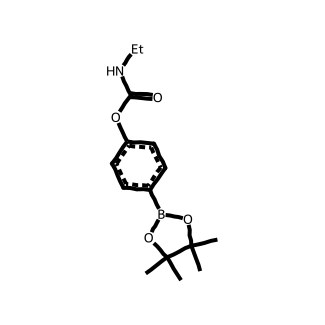 CCNC(=O)Oc1ccc(B2OC(C)(C)C(C)(C)O2)cc1